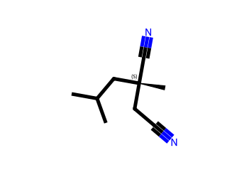 CC(C)C[C@](C)(C#N)CC#N